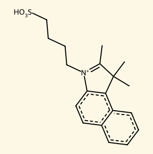 CC1=[N+](CCCCS(=O)(=O)O)c2ccc3ccccc3c2C1(C)C